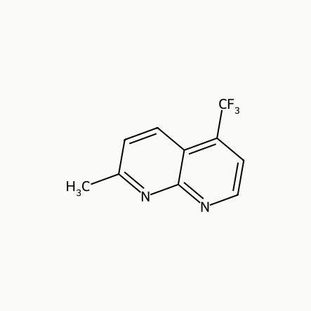 Cc1ccc2c(C(F)(F)F)ccnc2n1